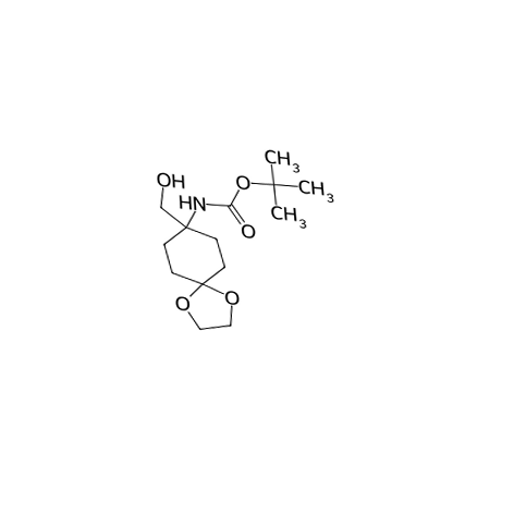 CC(C)(C)OC(=O)NC1(CO)CCC2(CC1)OCCO2